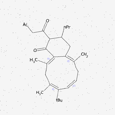 CCCC1CC2=C(\C)C/C=C\C(C(C)(C)C)=C(\C)C/C(C)=C\2C(=O)C1C(=O)CC(C)=O